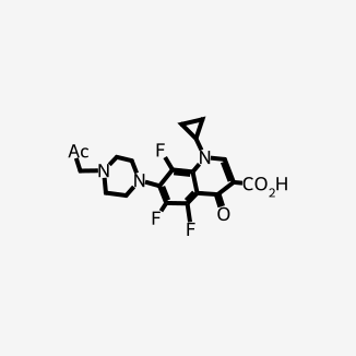 CC(=O)CN1CCN(c2c(F)c(F)c3c(=O)c(C(=O)O)cn(C4CC4)c3c2F)CC1